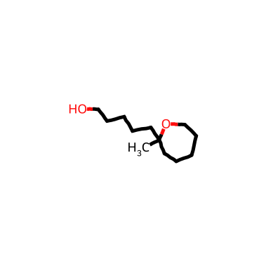 CC1(CCCCCO)CCCCCO1